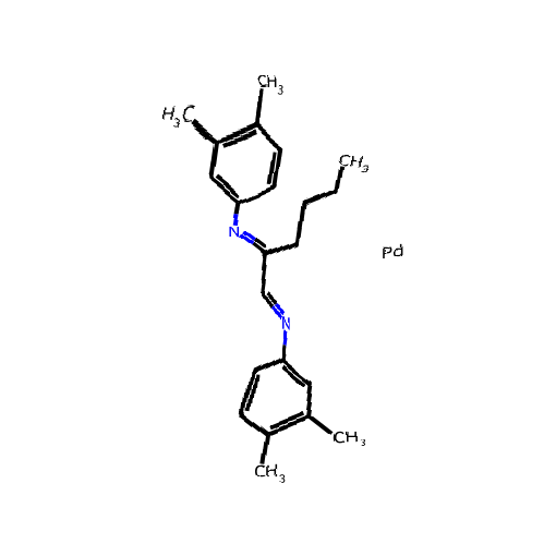 CCCCC(/C=N/c1ccc(C)c(C)c1)=N\c1ccc(C)c(C)c1.[Pd]